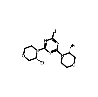 CCC[C@@H]1COCCN1c1nc(Cl)nc(N2CCOC[C@H]2CC)n1